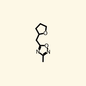 Cc1noc(CC2CCCO2)n1